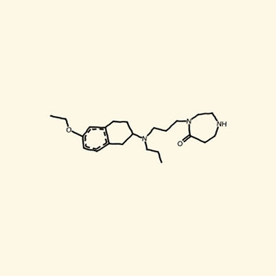 CCCN(CCCN1CCNCCC1=O)C1CCc2cc(OCC)ccc2C1